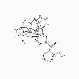 CCOc1ccccc1C(=O)N1CCC(CCN2[C@@H]3CC[C@H]2CC(n2c(C)nc4ccccc42)C3)(c2ccccc2)CC1